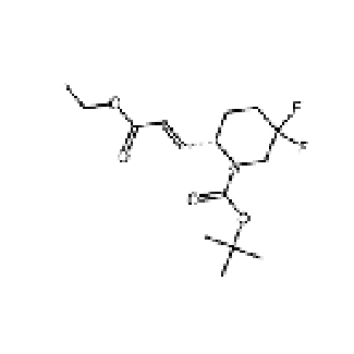 CCOC(=O)C=C[C@@H]1CCC(F)(F)CN1C(=O)OC(C)(C)C